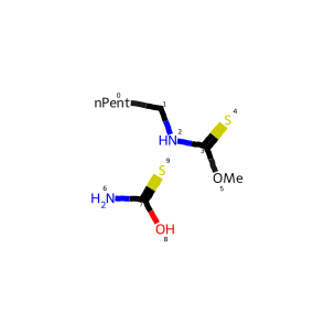 CCCCCCNC(=S)OC.NC(O)=S